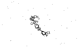 Cn1nnnc1NC(=O)N1CCC2(CC1)CC(c1ccc(F)c(Cl)c1)C2